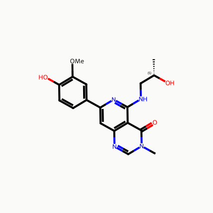 COc1cc(-c2cc3ncn(C)c(=O)c3c(NC[C@H](C)O)n2)ccc1O